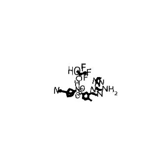 Cc1ccc(S(=O)(=O)NC23CCC(C#N)(C2)C3)cc1-c1cnc(N)c(-n2nccn2)n1.O=C(O)C(F)(F)F